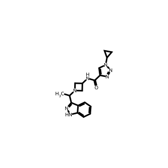 CC(c1n[nH]c2ccccc12)N1CC(NC(=O)c2cn(C3CC3)nn2)C1